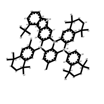 Cc1cc2c3c(c1)N(c1cc4c(cc1C)C(C)(C)CCC4(C)C)c1cc4c(cc1B3c1cc3c(cc1N2c1ccc2c(c1)C(C)(C)CCC2(C)C)C(C)(C)CCC3(C)C)sc1cccc(C(C)(C)C)c14